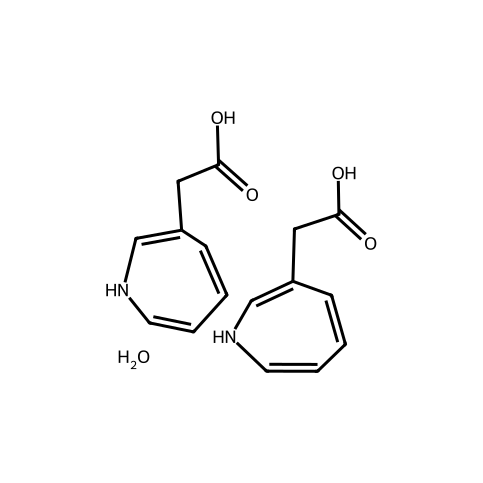 O.O=C(O)CC1=CNC=CC=C1.O=C(O)CC1=CNC=CC=C1